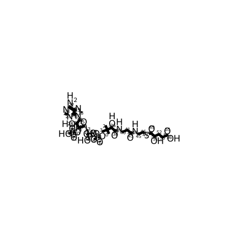 CC(C)(COP(=O)(O)OP(=O)(O)OC[C@H]1O[C@@H](n2cnc3c(N)ncnc32)[C@H](O)[C@@H]1OP(=O)(O)O)C(O)C(=O)NCCC(=O)NCCSC(=O)C(O)CCC(=O)O